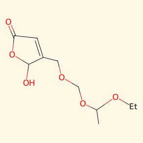 CCOC(C)OCOCC1=CC(=O)OC1O